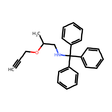 C#CCOC(C)CNC(c1ccccc1)(c1ccccc1)c1ccccc1